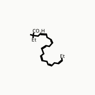 CC/C=C\C/C=C\C/C=C\C/C=C\C/C=C\C/C=C\CC(C)(CC)C(=O)O